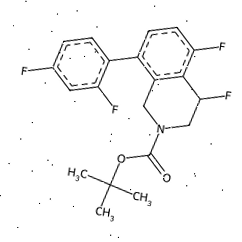 CC(C)(C)OC(=O)N1Cc2c(-c3ccc(F)cc3F)ccc(F)c2C(F)C1